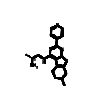 CC1CCc2c(sc3nc(-c4ccncc4)nc(NC[C@@H](C)N)c23)C1